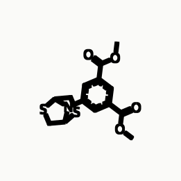 COC(=O)c1cc(C(=O)OC)cc(N2C3CSC2CS3)c1